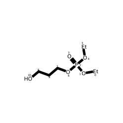 CCOP(=O)(OCC)OCCCO